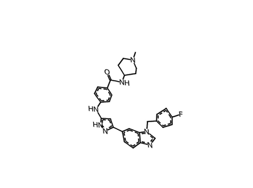 CN1CCC(NC(=O)c2ccc(Nc3cc(-c4ccc5ncn(Cc6ccc(F)cc6)c5c4)n[nH]3)cc2)CC1